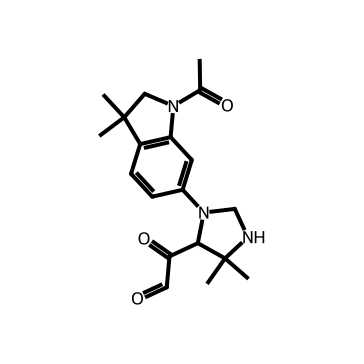 CC(=O)N1CC(C)(C)c2ccc(N3CNC(C)(C)C3C(=O)C=O)cc21